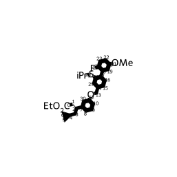 CCOC(=O)C[C@@H](CC1CC1)c1cccc(OCc2ccc(-c3cc(OC)ccc3F)c(SC(C)C)c2)c1